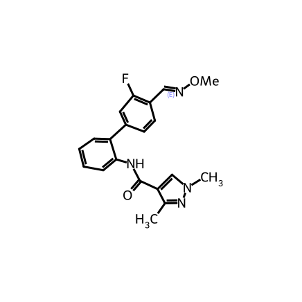 CO/N=C/c1ccc(-c2ccccc2NC(=O)c2cn(C)nc2C)cc1F